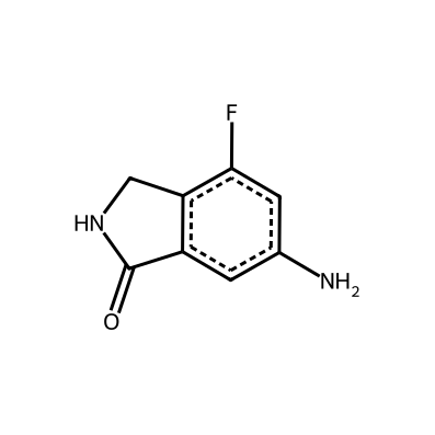 Nc1cc(F)c2c(c1)C(=O)NC2